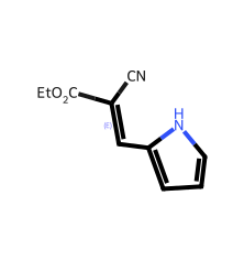 CCOC(=O)/C(C#N)=C/c1ccc[nH]1